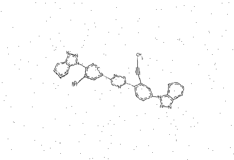 CC#Cc1cc(-n2nnc3ccccc32)ccc1-c1cnc(-c2ccc(-n3nnc4ccccc43)c(CCC)c2)cn1